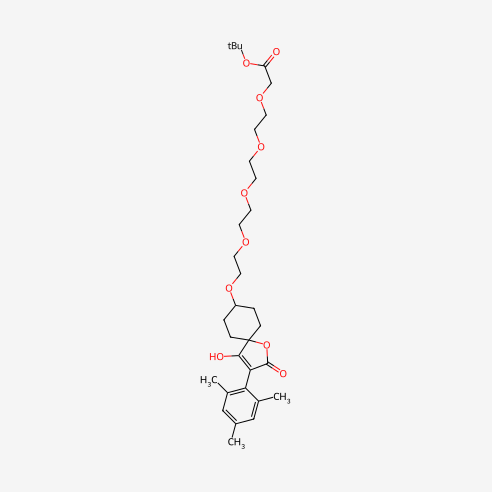 Cc1cc(C)c(C2=C(O)C3(CCC(OCCOCCOCCOCCOCC(=O)OC(C)(C)C)CC3)OC2=O)c(C)c1